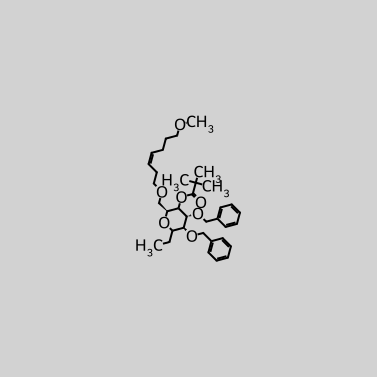 CCC1O[C@@H](COCC/C=C\CCCOC)C(OC(=O)C(C)(C)C)[C@H](OCc2ccccc2)[C@H]1OCc1ccccc1